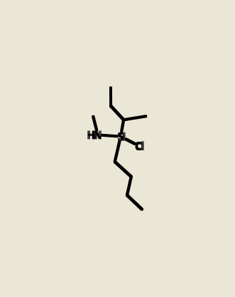 CCCC[Si](Cl)(NC)C(C)CC